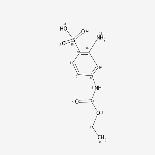 CCOC(=O)Nc1ccc(S(=O)(=O)O)c(N)c1